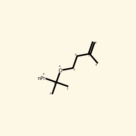 [CH2]CCC(C)(C)OCCC(=C)C